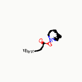 CCCCCCC(=O)O[n+]1ccccc1